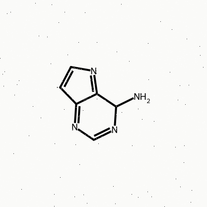 NC1N=CN=C2[C]=CN=C21